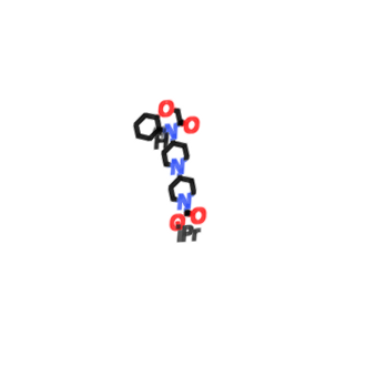 CC(C)OC(=O)N1CCC(N2CCC(N3C(=O)COC4CCCC[C@H]43)CC2)CC1